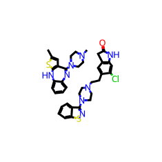 Cc1cc2c(s1)Nc1ccccc1N=C2N1CCN(C)CC1.O=C1Cc2cc(CCN3CCN(c4nsc5ccccc45)CC3)c(Cl)cc2N1